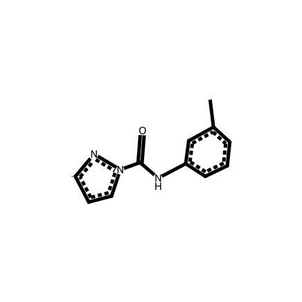 Cc1cccc(NC(=O)n2cc[c]n2)c1